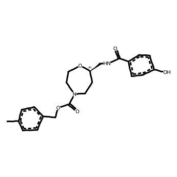 Cc1ccc(COC(=O)N2CCO[C@@H](CNC(=O)c3ccc(O)cc3)CC2)cc1